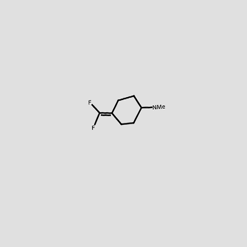 CNC1CCC(=C(F)F)CC1